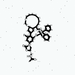 CC(=O)NC[C@H]1CN(c2cc(F)c(C3=CC4CCCCCCCCCCC(CO[Si](c5ccccc5)(c5ccccc5)C(C)(C)C)C4C3)c(F)c2)C(=O)O1